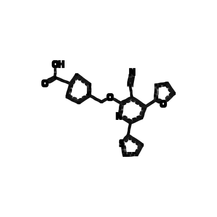 N#Cc1c(-c2ccco2)cc(-c2cccs2)nc1OCc1ccc(C(=O)O)cc1